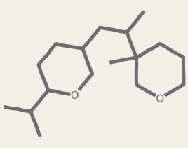 CC(C)C1CCC(CC(C)C2(C)CCCOC2)CO1